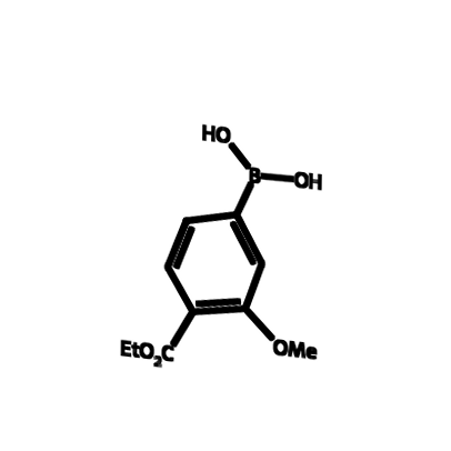 CCOC(=O)c1ccc(B(O)O)cc1OC